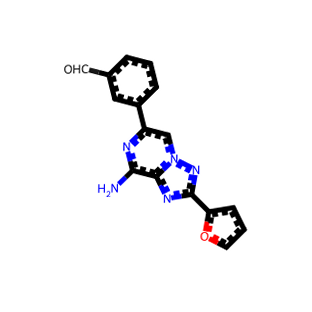 Nc1nc(-c2cccc(C=O)c2)cn2nc(-c3ccco3)nc12